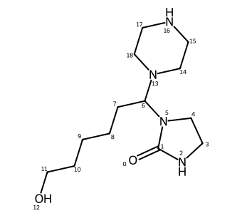 O=C1NCCN1C(CCCCCO)N1CCNCC1